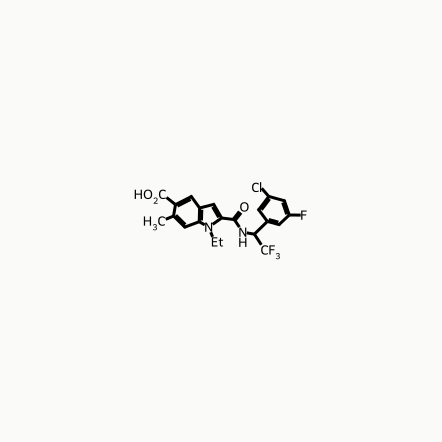 CCn1c(C(=O)NC(c2cc(F)cc(Cl)c2)C(F)(F)F)cc2cc(C(=O)O)c(C)cc21